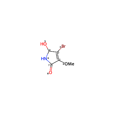 COC1=C(Br)C(O)NC1=O